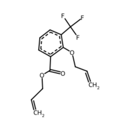 C=CCOC(=O)c1cccc(C(F)(F)F)c1OCC=C